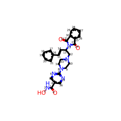 O=C(NO)c1cnc(N2CCN(CC(/C=C/c3ccccc3)N3C(=O)c4ccccc4C3=O)CC2)nc1